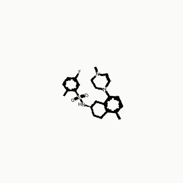 Cc1ccc(F)cc1S(=O)(=O)N[C@@H]1CCc2c(C)ccc(N3CCN(C)CC3)c2C1